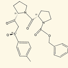 Cc1ccc([S@@+]([O-])CC(=O)[C@@H]2CCCN2C(=O)[C@@H]2CCCN2C(=O)OCc2ccccc2)cc1